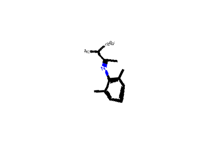 CCCCC(C(C)=O)/C(C)=N/c1c(C)cccc1C